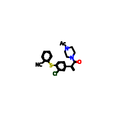 C=C(C(=O)N1CCN(C(C)=O)CC1)c1ccc(Sc2ccccc2C#N)c(Cl)c1